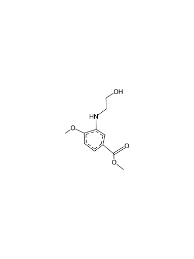 COC(=O)c1ccc(OC)c(NCCO)c1